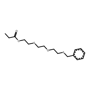 [CH2]CC(=O)OCCSCCOCCSCc1cc[c]cc1